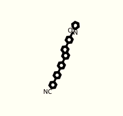 N#Cc1ccc(-c2ccc(-c3ccc(-c4ccc5cc(-c6ccc(-c7nc8ccccc8o7)cc6)ccc5c4)cc3)cc2)cc1